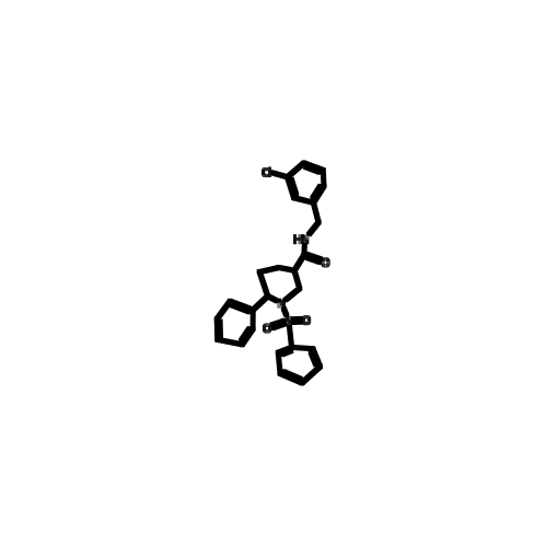 O=C(NCc1cccc(Cl)c1)C1CCC(c2ccccc2)N(S(=O)(=O)c2ccccc2)C1